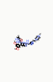 COc1cc(OC)cc(-c2cc3cnc(NCc4cn(CCN5CCN(C)CC5)nn4)nc3nc2NC(=O)NC(C)(C)C)c1